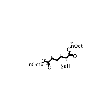 CCCCCCCCOC(=O)CCCCC(=O)OCCCCCCCC.[NaH]